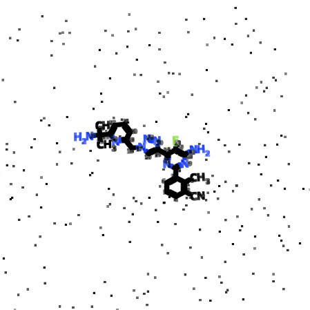 Cc1c(C#N)cccc1-c1nc(N)c(F)c(-c2cn(Cc3cccc(C(C)(C)N)n3)nn2)n1